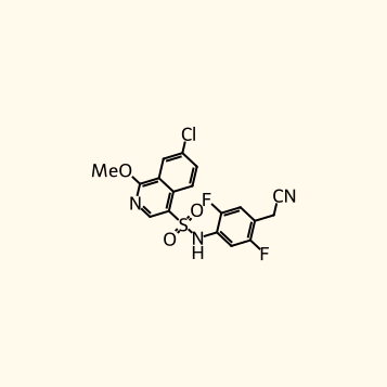 COc1ncc(S(=O)(=O)Nc2cc(F)c(CC#N)cc2F)c2ccc(Cl)cc12